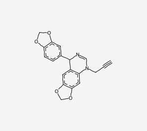 C#CCN1C=NC(c2ccc3c(c2)OCO3)c2cc3c(cc21)OCO3